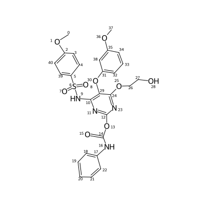 COc1ccc(S(=O)(=O)Nc2nc(OC(=O)Nc3ccccc3)nc(OCCO)c2Oc2cccc(OC)c2)cc1